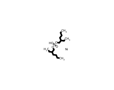 CCCCC(CC)COP(=O)(O)OCC(CC)CCCC.[Ni]